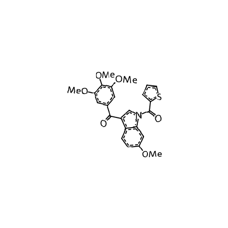 COc1ccc2c(C(=O)c3cc(OC)c(OC)c(OC)c3)cn(C(=O)c3cccs3)c2c1